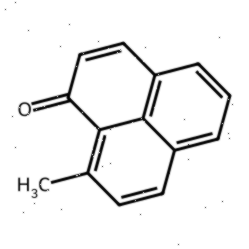 Cc1ccc2cccc3c2c1C(=O)C=C3